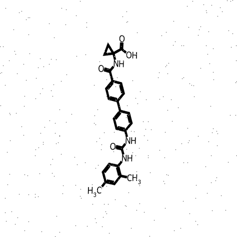 Cc1ccc(NC(=O)Nc2ccc(-c3ccc(C(=O)NC4(C(=O)O)CC4)cc3)cc2)c(C)c1